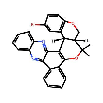 CC1(C)Oc2c(c3nc4ccccc4nc3c3ccccc23)[C@@H]2c3cc(Br)ccc3OC[C@@H]21